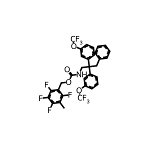 Cc1c(F)c(F)c(F)c(COC(=O)NCC(Cc2ccccc2)(c2cccc(OC(F)(F)F)c2)c2cccc(OC(F)(F)F)c2)c1F